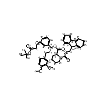 COc1ccc(CC[C@@H](OC(=O)C2CCCCN2C(=O)OCC2c3ccccc3-c3ccccc32)c2cccc(OCC(=O)OC(C)(C)C)c2)cc1OC